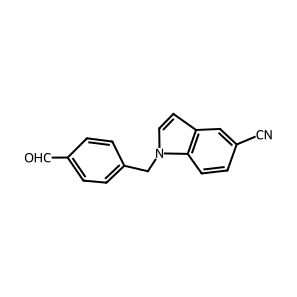 N#Cc1ccc2c(ccn2Cc2ccc(C=O)cc2)c1